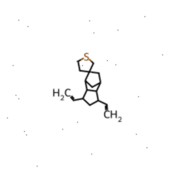 C=CC1CC(C=C)C2C1C1CC2C2(CCSC2)C1